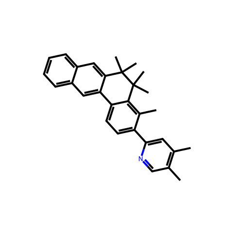 Cc1cnc(-c2ccc3c(c2C)C(C)(C)C(C)(C)c2cc4ccccc4cc2-3)cc1C